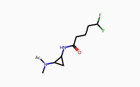 CC(=O)N(C)C1CC1NC(=O)CCCC(F)F